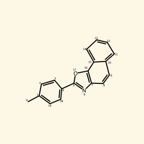 Cc1ccc(-c2nc3ccc4ccccc4c3o2)cc1